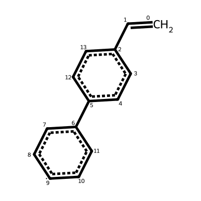 C=Cc1ccc(-c2cc[c]cc2)cc1